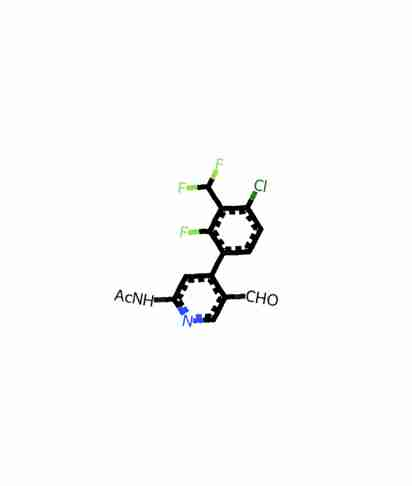 CC(=O)Nc1cc(-c2ccc(Cl)c(C(F)F)c2F)c(C=O)cn1